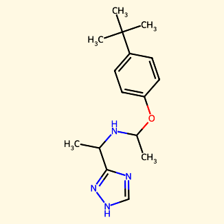 CC(NC(C)c1nc[nH]n1)Oc1ccc(C(C)(C)C)cc1